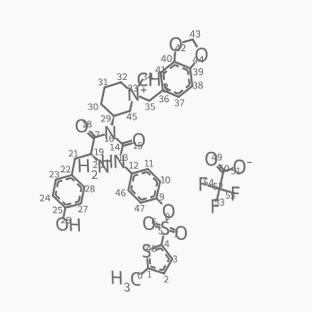 Cc1ccc(S(=O)(=O)Oc2ccc(NC(=O)N(C(=O)[C@@H](N)Cc3ccc(O)cc3)[C@H]3CCC[N+](C)(Cc4ccc5c(c4)OCO5)C3)cc2)s1.O=C([O-])C(F)(F)F